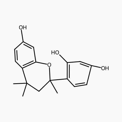 CC1(C)CC(C)(c2ccc(O)cc2O)Oc2cc(O)ccc21